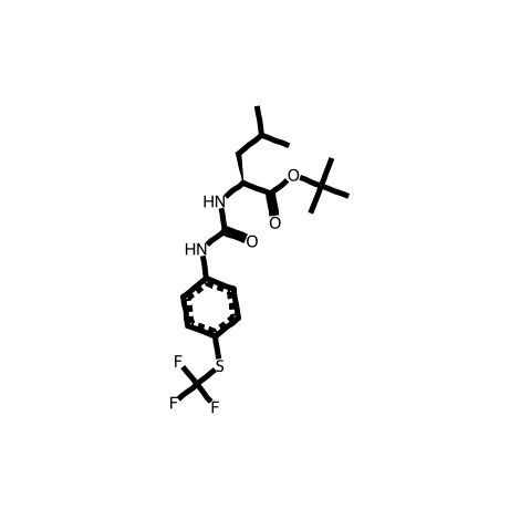 CC(C)C[C@H](NC(=O)Nc1ccc(SC(F)(F)F)cc1)C(=O)OC(C)(C)C